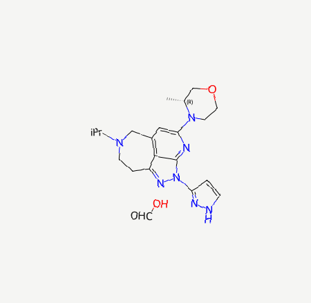 CC(C)N1CCc2nn(-c3cc[nH]n3)c3nc(N4CCOC[C@H]4C)cc(c23)C1.O=CO